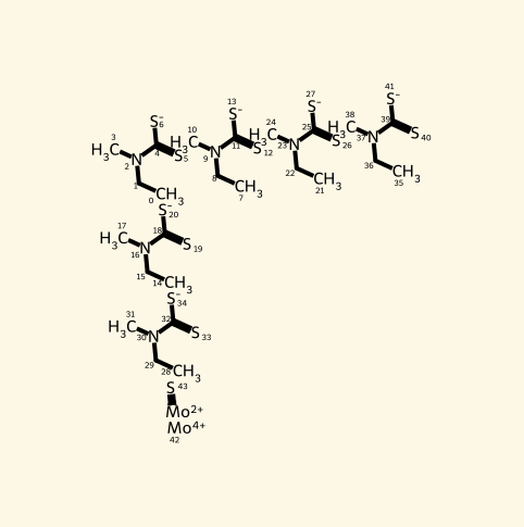 CCN(C)C(=S)[S-].CCN(C)C(=S)[S-].CCN(C)C(=S)[S-].CCN(C)C(=S)[S-].CCN(C)C(=S)[S-].CCN(C)C(=S)[S-].[Mo+4].[S]=[Mo+2]